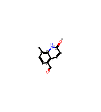 Cc1ccc(C=O)c2ccc(=O)[nH]c12